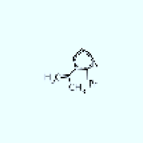 C=C(C)c1cccnc1C(C)C